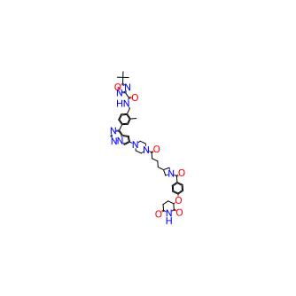 Cc1cc(-c2ncnn3cc(N4CCN(C(=O)CCCC5CN(C(=O)c6ccc(OC7CCC(=O)NC7=O)cc6)C5)CC4)cc23)ccc1CNC(=O)c1noc(C(C)(C)C)n1